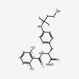 COC(=O)[C@H](Cc1ccc(NC(C)(C)CCO)cc1)NC(=O)c1c(Cl)cccc1Cl